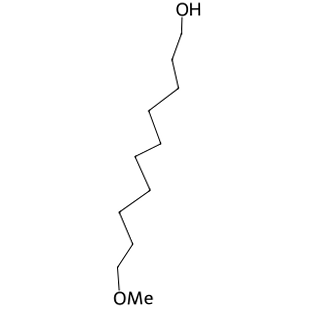 COCCCCCCCCCCO